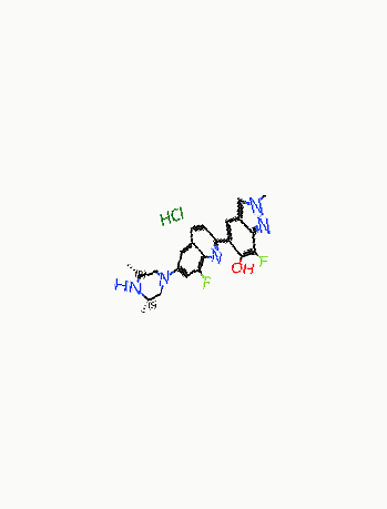 C[C@@H]1CN(c2cc(F)c3nc(-c4cc5cn(C)nc5c(F)c4O)ccc3c2)C[C@H](C)N1.Cl